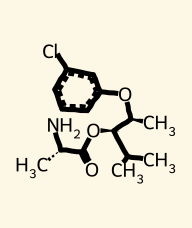 CC(C)[C@@H](OC(=O)[C@H](C)N)[C@H](C)Oc1cccc(Cl)c1